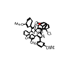 COc1cccc(C2=NC(c3c(Cl)cccc3Cl)(n3c(-c4c(Cl)cccc4Cl)nc(-c4cccc(OC)c4)c3-c3cccc(OC)c3)N=C2c2cccc(OC)c2)c1